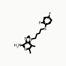 Cc1nc(N)c2ncn(CCCCSc3ccc(F)cc3F)c2c1C